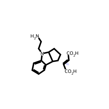 NCCN1c2ccccc2C2CCCC21.O=C(O)/C=C/C(=O)O